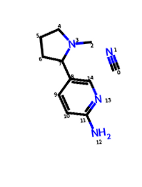 C#N.CN1CCCC1c1ccc(N)nc1